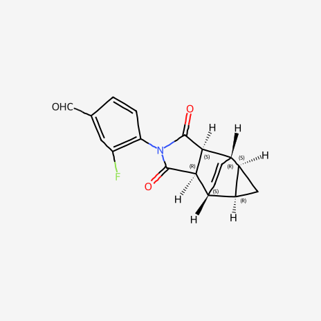 O=Cc1ccc(N2C(=O)[C@@H]3[C@@H]4C=C[C@@H]([C@H]5C[C@@H]45)[C@@H]3C2=O)c(F)c1